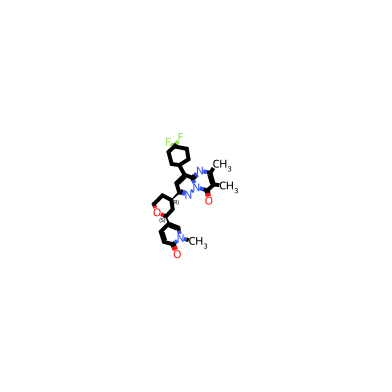 Cc1nc2c(C3CCC(F)(F)CC3)cc([C@@H]3CCO[C@H](c4ccc(=O)n(C)c4)C3)nn2c(=O)c1C